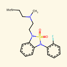 CNCCN(C)CCN1c2ccccc2N(c2ccccc2F)S1(=O)=O